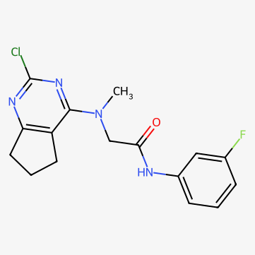 CN(CC(=O)Nc1cccc(F)c1)c1nc(Cl)nc2c1CCC2